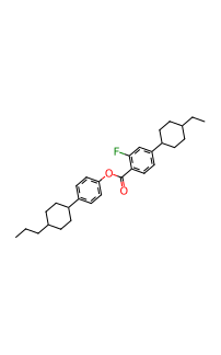 CCCC1CCC(c2ccc(OC(=O)c3ccc(C4CCC(CC)CC4)cc3F)cc2)CC1